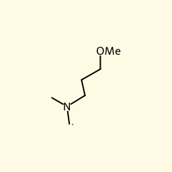 [CH2]N(C)CCCOC